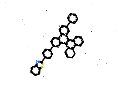 C1=Cc2c(c3ccccc3c3c4cc(-c5ccccc5)ccc4c4ccc(-c5ccc(-c6nc7ccccc7s6)cc5)cc4c23)CC1